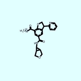 CNC(=O)c1cc(C(=O)NC2C3COCC32)cc2c1OCC2c1ccccn1